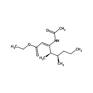 CCC[C@@H](C)[C@@H](C)/C(=C\C(=O)OCC)NC(C)=O